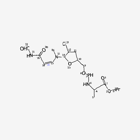 CC(C)OC(=O)C(C)NPOCC1CC(Cl)C(N(C)/C=C\C(=O)NC=O)O1